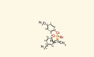 Cc1ccc(O[PH](Br)(Oc2ccc(C)cc2)C(C)C)cc1